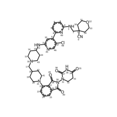 N#CC1(CNc2cccc(-c3cc(NC4CCN(CC5CCN(c6cccc7c6C(=O)N(N6CCC(=O)NC6=O)C7=O)CC5)CC4)ncc3Cl)n2)CCOCC1